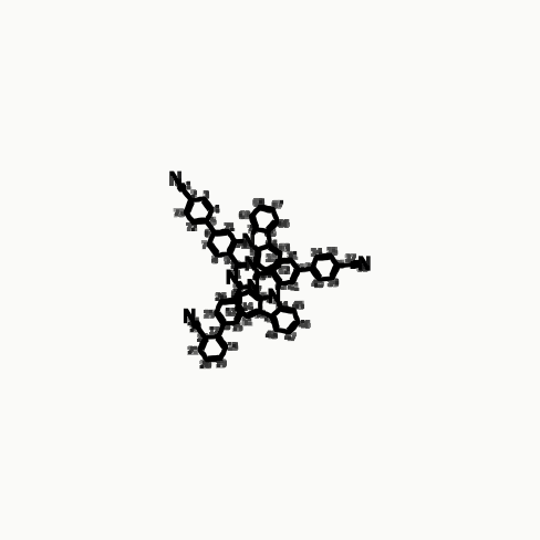 N#Cc1ccc(-c2ccc(-c3nc(-c4ccc(-c5ccccc5C#N)cc4)nc(-c4ccc(-c5ccc(C#N)cc5)cc4-n4c5ccccc5c5ccccc54)n3)c(-n3c4ccccc4c4ccccc43)c2)cc1